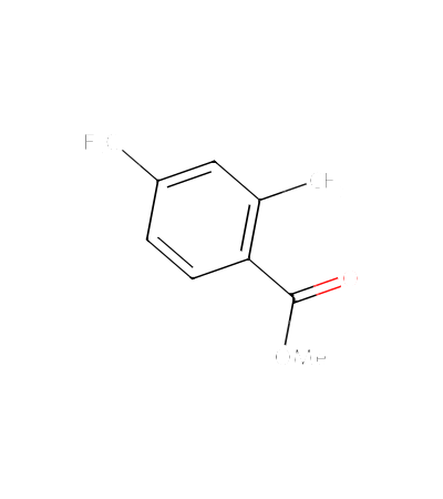 COC(=O)c1ccc(C(F)(F)F)cc1C(F)(F)F